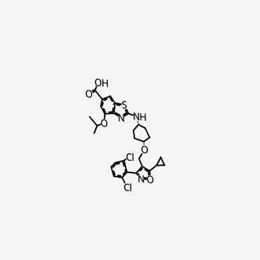 CC(C)Oc1cc(C(=O)O)cc2sc(N[C@H]3CC[C@@H](OCc4c(-c5c(Cl)cccc5Cl)noc4C4CC4)CC3)nc12